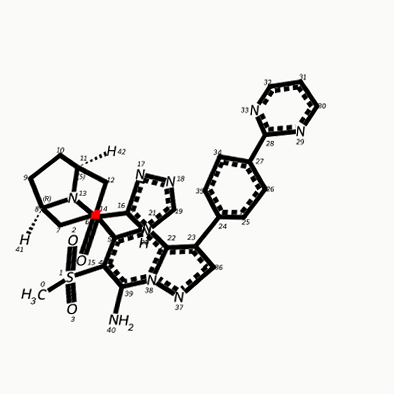 CS(=O)(=O)c1c(C2C[C@H]3CC[C@@H](C2)N3C(=O)c2nnc[nH]2)nc2c(-c3ccc(-c4ncccn4)cc3)cnn2c1N